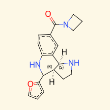 O=C(c1ccc2c(c1)[C@H]1NCC[C@H]1C(c1ccco1)N2)N1CCC1